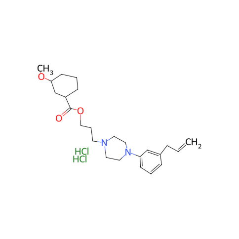 C=CCc1cccc(N2CCN(CCCOC(=O)C3CCCC(OC)C3)CC2)c1.Cl.Cl